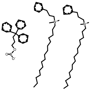 CCCCCCCCCCCCCCCC[N+](C)(C)CCCc1ccccc1.CCCCCCCCCCCCCCCC[N+](C)(C)CCCc1ccccc1.[O-]B([O-])OCCCC(c1ccccc1)(c1ccccc1)c1ccccc1